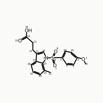 COc1ccc(S(=O)(=O)n2cc(CCC(=O)O)c3cccc(C)c32)cc1